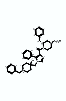 O=C(O)N1CCN(C(=O)c2ncn(CC3(O)CCN(Cc4ccccc4)CC3)c2-c2ccccc2)[C@H](Cc2ccccc2)C1